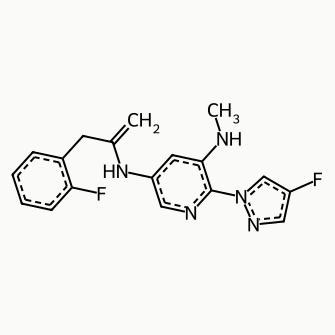 C=C(Cc1ccccc1F)Nc1cnc(-n2cc(F)cn2)c(NC)c1